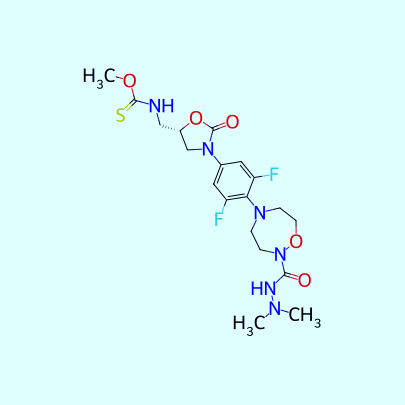 COC(=S)NC[C@H]1CN(c2cc(F)c(N3CCON(C(=O)NN(C)C)CC3)c(F)c2)C(=O)O1